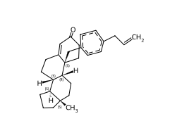 C=CCc1ccc(C[C@]23CCC(=O)C=C2CC[C@@H]2[C@H]3CC[C@]3(C)CCC[C@@H]23)cc1